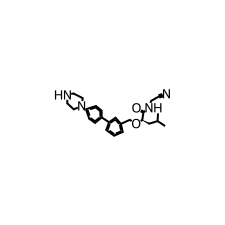 CC(C)C[C@@H](OCc1cccc(-c2ccc(N3CCNCC3)cc2)c1)C(=O)NCC#N